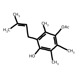 CC(=O)Oc1c(C)c(C)c(O)c(CC=C(C)C)c1C